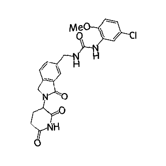 COc1ccc(Cl)cc1NC(=O)NCc1ccc2c(c1)C(=O)N(C1CCC(=O)NC1=O)C2